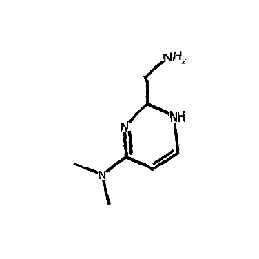 CN(C)C1=NC(CN)NC=C1